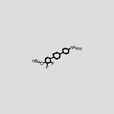 CCCCCc1ccc(-c2ccc(-c3ccc(OCCCC)c(F)c3F)cc2)cc1